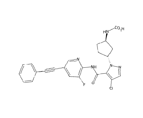 O=C(O)N[C@@H]1CC[C@@H](n2ncc(Cl)c2C(=O)Nc2ncc(C#Cc3ccccc3)cc2F)C1